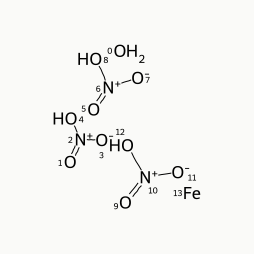 O.O=[N+]([O-])O.O=[N+]([O-])O.O=[N+]([O-])O.[Fe]